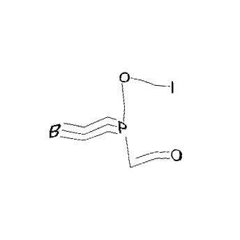 B#P(C=O)OI